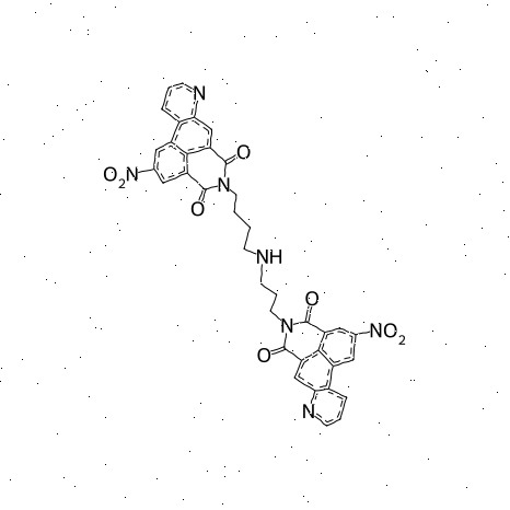 O=C1c2cc([N+](=O)[O-])cc3c2c(cc2ncccc23)C(=O)N1CCCCNCCCN1C(=O)c2cc([N+](=O)[O-])cc3c2c(cc2ncccc23)C1=O